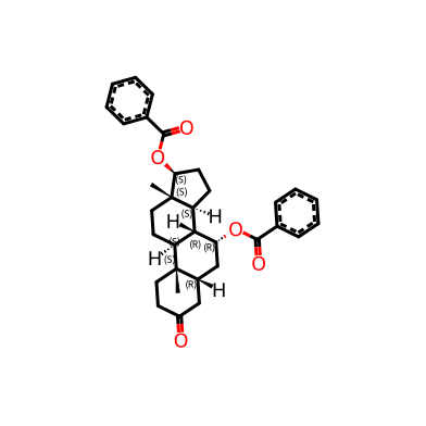 C[C@]12CCC(=O)C[C@H]1C[C@@H](OC(=O)c1ccccc1)[C@@H]1[C@@H]2CC[C@]2(C)[C@@H](OC(=O)c3ccccc3)CC[C@@H]12